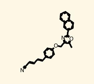 Cc1oc(-c2ccc3ccccc3c2)nc1COc1ccc(C=CC=CC#N)cc1